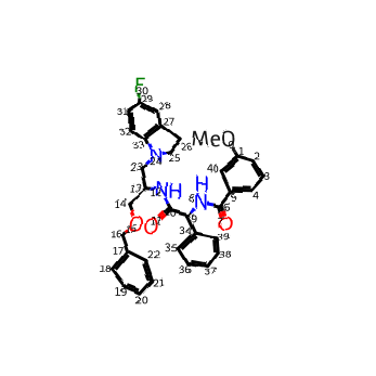 COc1cccc(C(=O)N[C@H](C(=O)N[C@@H](COCc2ccccc2)CN2CCc3cc(F)ccc32)c2ccccc2)c1